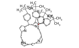 CC(C)(C)c1ccc(-c2c(-c3ccc(C(C)(C)C)cc3)c3c(-c4ccc(C(C)(C)C)cc4)c4nc(cc5ccc(cc6nc(cc2n3-c2ccc(C(C)(C)C)cc2)C=C6)[nH]5)C=C4)cc1